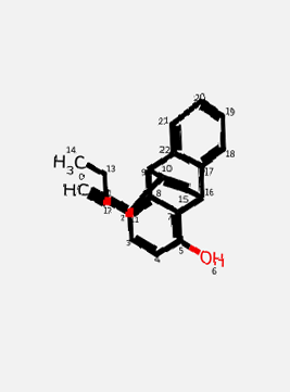 C#Cc1ccc(O)c2c1C1C(/C=C\CC)=CC2c2ccccc21